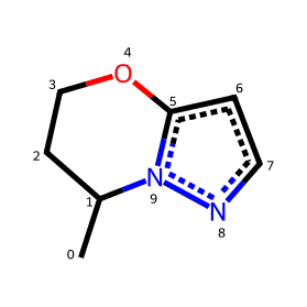 CC1CCOc2ccnn21